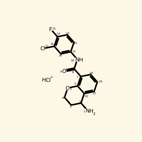 Cl.NC1CCOc2c(C(=O)Nc3ccc(F)c(Cl)c3)cccc21